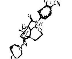 C[C@@]12C/C(=N\N3CCOCC3)[C@]3(CCO[C@H]4[C@@H]3[C@@H]1C(=O)N4c1ccc(C#N)c(C(F)(F)F)c1)O2